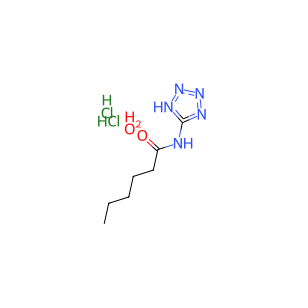 CCCCCC(=O)Nc1nnn[nH]1.Cl.Cl.O